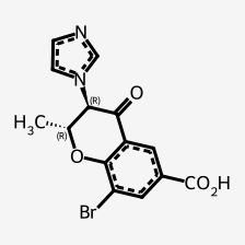 C[C@H]1Oc2c(Br)cc(C(=O)O)cc2C(=O)[C@@H]1n1ccnc1